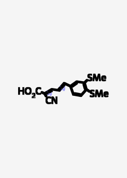 CSc1ccc(/C=C/C=C(\C#N)C(=O)O)cc1SC